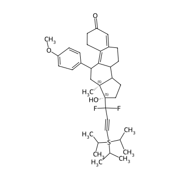 COc1ccc(C2C[C@@]3(C)C(CC[C@@]3(O)C(F)(F)C#CS(C(C)C)(C(C)C)C(C)C)C3CCC4=CC(=O)CCC4=C23)cc1